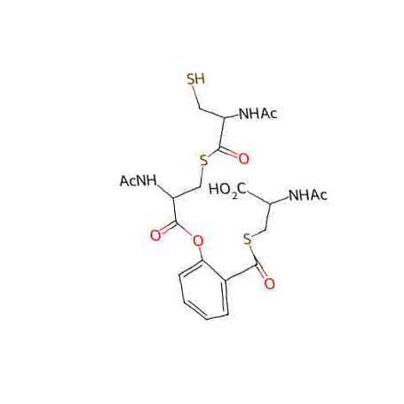 CC(=O)NC(CSC(=O)c1ccccc1OC(=O)C(CSC(=O)C(CS)NC(C)=O)NC(C)=O)C(=O)O